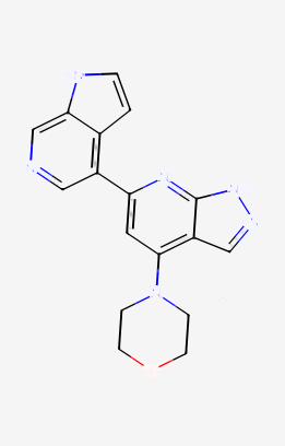 C[C@@H]1COCCN1c1cc(-c2cncc3[nH]ccc23)nc2[nH]ncc12